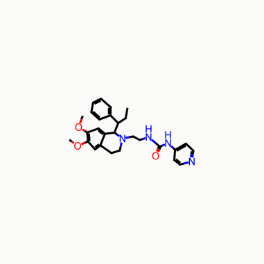 CCC(c1ccccc1)C1c2cc(OC)c(OC)cc2CCN1CCNC(=O)Nc1ccncc1